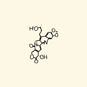 C[C@@H](O)CCc1c2c(nc3cc4c(cc13)OCO4)-c1cc3c(c(=O)n1C2)COC(=O)[C@H]3O